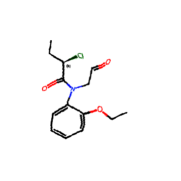 CCOc1ccccc1N(CC=O)C(=O)[C@H](Cl)CC